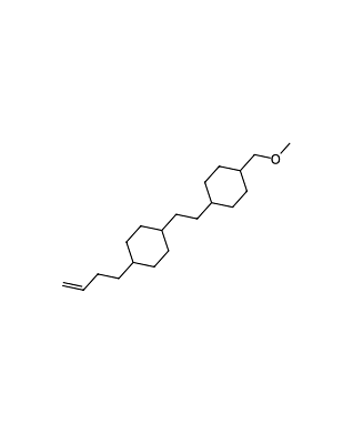 C=CCCC1CCC(CCC2CCC(COC)CC2)CC1